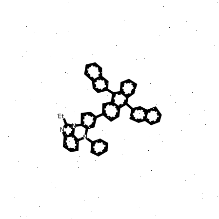 CCc1nc2cccc3c2n1-c1ccc(-c2ccc4c(-c5ccc6ccccc6c5)c5ccccc5c(-c5ccc6ccccc6c5)c4c2)cc1N3c1ccccc1